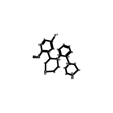 COc1ncc(F)cc1C1COCCN1c1c[c]ccc1N1CCNCC1